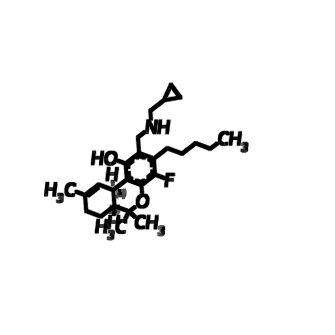 CCCCCc1c(F)c2c(c(O)c1CNCC1CC1)[C@@H]1C=C(C)CC[C@H]1C(C)(C)O2